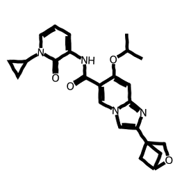 CC(C)Oc1cc2nc(C34COC(C3)C4)cn2cc1C(=O)Nc1cccn(C2CC2)c1=O